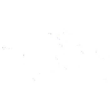 C#Cc1cccc2cc(O)cc(-c3ncc4c(N5C[C@H]6CC[C@@H](C5)N6)nc(OCC56CCCN5CC(=C5CC(OC)C5)C6)nc4c3F)c12